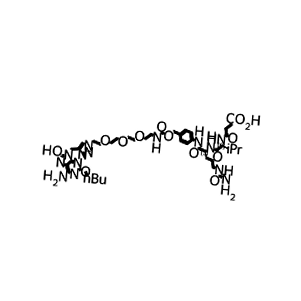 CCCCOc1nc(N)c2nc(O)n(Cc3cn(CCOCCOCCOCCNC(=O)OCc4ccc(NC(=O)[C@H](CCCNC(N)=O)NC(=O)[C@@H](NC(=O)CCC(=O)O)C(C)C)cc4)nn3)c2n1